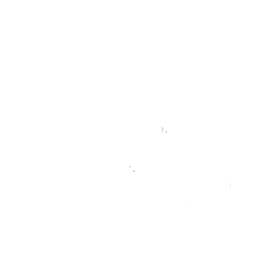 FC(F)Oc1cnc2c(-c3ccccc3)c3c(cc2n1)CCCC3